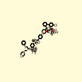 CC(C)(C)C(O[C@@H](c1ccccc1-c1ccc(Cl)cc1)C1CCN(c2ccc(C(=O)NS(=O)(=O)c3ccc(N[C@H](CCN4CCOCC4)CSc4ccccc4)c(S(=O)(=O)C(F)(F)F)c3)cc2)CC1)(OP(=O)(O)O)C(C)(C)C